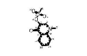 Cn1cc(OS(C)(=O)=O)c(=O)c2ccccc21